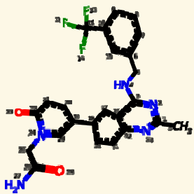 Cc1nc(NCc2cccc(C(F)(F)F)c2)c2cc(-c3ccc(=O)n(CC(N)=O)c3)ccc2n1